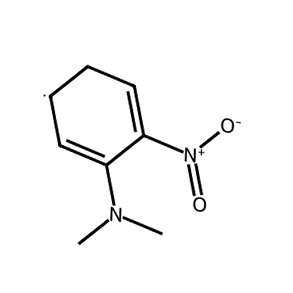 CN(C)C1=C[CH]CC=C1[N+](=O)[O-]